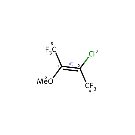 CO/C(=C(/Cl)C(F)(F)F)C(F)(F)F